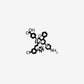 NC1CCN(C2CC(c3ccccc3)C(C(=O)Nc3ccc(C(=O)O)cc3)N(C(=O)C=Cc3cc(Cl)ccc3-n3cnnn3)C2)CC1